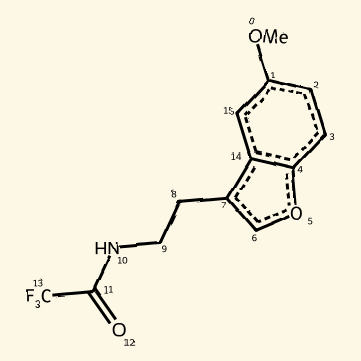 COc1ccc2occ(CCNC(=O)C(F)(F)F)c2c1